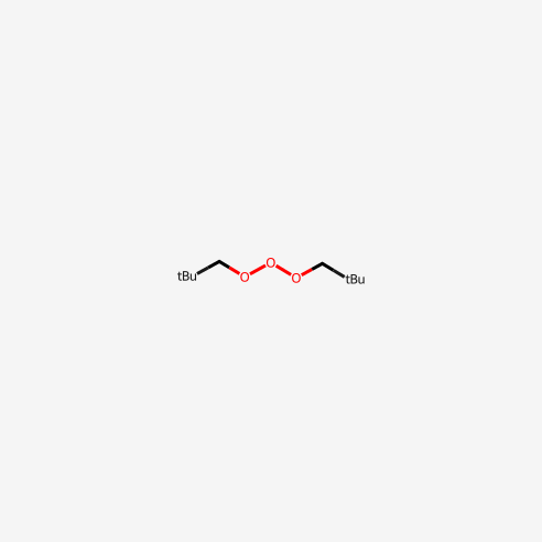 CC(C)(C)COOOCC(C)(C)C